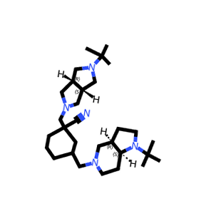 CC(C)(C)N1C[C@H]2CN(CC3(C#N)CCCC(CN4CC[C@H]5[C@H](CCN5C(C)(C)C)C4)C3)C[C@H]2C1